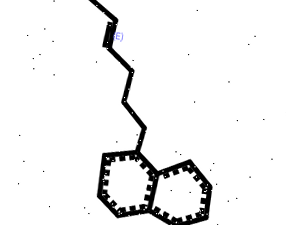 [CH2]/C=C/CCCc1cccc2ccccc12